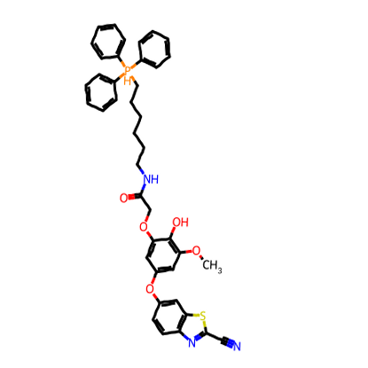 COc1cc(Oc2ccc3nc(C#N)sc3c2)cc(OCC(=O)NCCCCCC[PH](c2ccccc2)(c2ccccc2)c2ccccc2)c1O